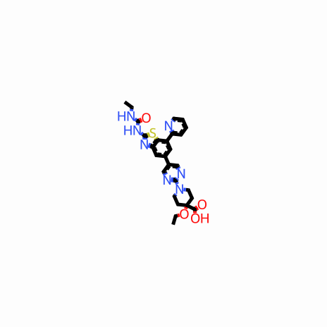 CCNC(=O)Nc1nc2cc(-c3cnc(N4CCC(OCC)(C(=O)O)CC4)nc3)cc(-c3ccccn3)c2s1